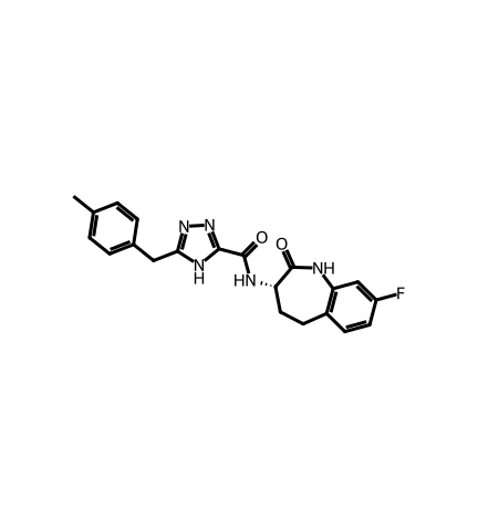 Cc1ccc(Cc2nnc(C(=O)N[C@H]3CCc4ccc(F)cc4NC3=O)[nH]2)cc1